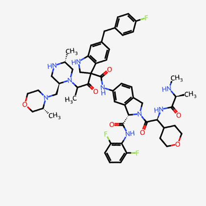 CN[C@@H](C)C(=O)N[C@H](C(=O)N1Cc2ccc(NC(=O)C3(C(=O)C(C)N4C[C@@H](C)NC[C@@H]4CN4CCOC[C@H]4C)CNc4cc(Cc5ccc(F)cc5)ccc43)cc2[C@H]1C(=O)Nc1c(F)cccc1F)C1CCOCC1